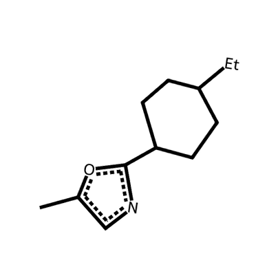 CCC1CCC(c2ncc(C)o2)CC1